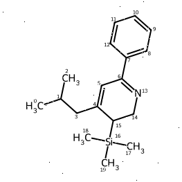 CC(C)CC1=CC(c2ccccc2)=NCC1[Si](C)(C)C